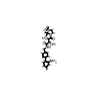 CC1(C)N(C(=O)[C@H](O)[C@@H](O)C(=O)NCc2ccc(-c3ccc(F)cc3N)cc2)CCS1(=O)=O